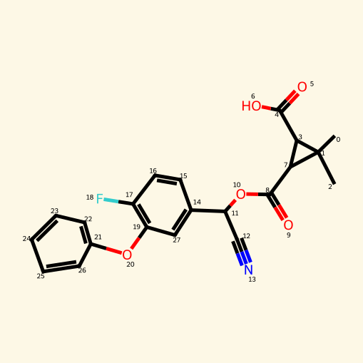 CC1(C)C(C(=O)O)C1C(=O)OC(C#N)c1ccc(F)c(Oc2ccccc2)c1